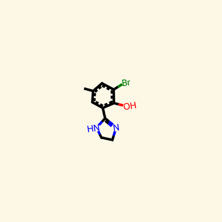 Cc1cc(Br)c(O)c(C2=NCCN2)c1